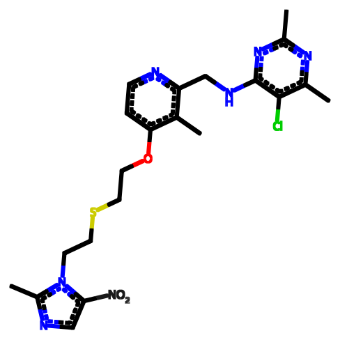 Cc1nc(C)c(Cl)c(NCc2nccc(OCCSCCn3c([N+](=O)[O-])cnc3C)c2C)n1